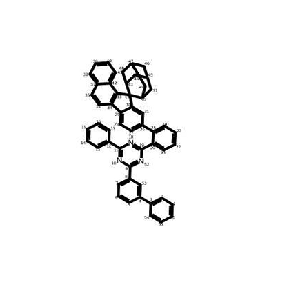 c1ccc(-c2cccc(-c3nc(-c4ccccc4)nc(-c4ccccc4-c4ccc5c(c4)C4(c6c-5ccc5ccccc65)C5CC6CC(C5)CC4C6)n3)c2)cc1